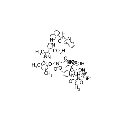 CNC(=O)CCN(CCOC12CC3(C)CC(C)(CC(Cn4ncc(-c5ccc(N6CCc7cccc(C(=O)Nc8nc9ccccc9s8)c7C6)nc5C(=O)O)c4C)(C3)C1)C2)C(=O)OCc1ccc(NC(=O)[C@H](C)NC(=O)[C@@H](N)C(C)C)cc1CC[C@@H]1O[C@H](C(=O)O)[C@@H](O)[C@H](O)[C@H]1O